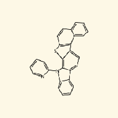 c1ccc(-n2c3ccccc3c3ccc4c(sc5ccc6ccccc6c54)c32)nc1